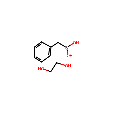 OB(O)Cc1ccccc1.OCCO